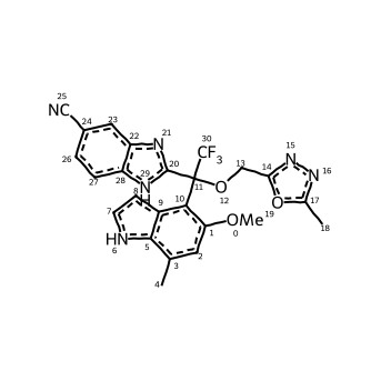 COc1cc(C)c2[nH]ccc2c1C(OCc1nnc(C)o1)(c1nc2cc(C#N)ccc2[nH]1)C(F)(F)F